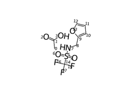 CC(=O)O.O=S(=O)(NCc1ccco1)C(F)(F)F